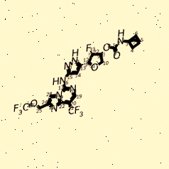 O=C(NC12CC(C1)C2)O[C@@H]1CO[C@H](c2cc(Nc3ncc(C(F)(F)F)c4nc(COC(F)(F)F)cn34)n[nH]2)[C@@H]1F